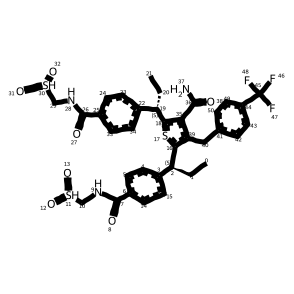 CC[C@@H](c1ccc(C(=O)NC[SH](=O)=O)cc1)c1sc([C@@H](CC)c2ccc(C(=O)NC[SH](=O)=O)cc2)c(C(N)=O)c1Cc1ccc(C(F)(F)F)cc1